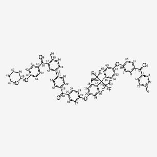 Cc1ccc(C(=O)c2ccc(Oc3ccc(C(c4ccc(Oc5ccc(C(=O)c6ccc(-c7ccc(C)c(C(=O)c8ccc(OC9CCCCO9)cc8)c7)cc6)cc5)cc4)(C(F)(F)F)C(F)(F)F)cc3)cc2)cc1